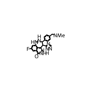 CNCc1ccc(C2NNc3cc(F)cc4c(=O)[nH]nc(c34)C2c2ncn[nH]2)cc1